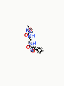 Cc1nc(C(=O)NCCCNC(=O)c2cc(-c3ccccc3)on2)no1